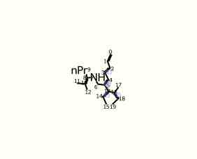 C=C/C=C/C=C(CNC(CCC)=C(C)C)/C(=C/C)C(/C)=C\C